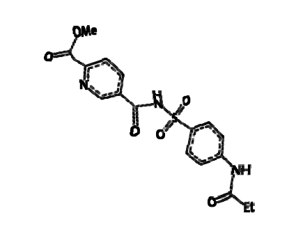 CCC(=O)Nc1ccc(S(=O)(=O)NC(=O)c2ccc(C(=O)OC)nc2)cc1